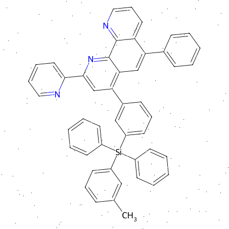 Cc1cccc([Si](c2ccccc2)(c2ccccc2)c2cccc(-c3cc(-c4ccccn4)nc4c3cc(-c3ccccc3)c3cccnc34)c2)c1